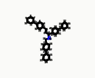 C(=C\c1ccc(-c2ccccc2)cc1)/C(=N\Cc1ccc(-c2ccccc2)cc1)c1ccc(-c2ccccc2)cc1